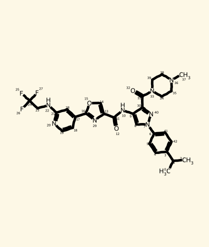 CC(C)c1ccc(-n2cc(NC(=O)c3coc(-c4ccnc(NCC(F)(F)F)c4)n3)c(C(=O)N3CCN(C)CC3)n2)cc1